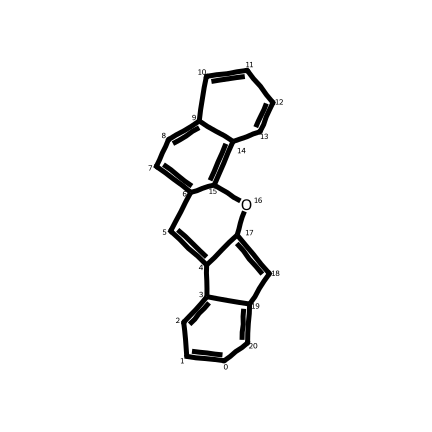 c1ccc2c3cc4ccc5ccccc5c4oc-3cc2c1